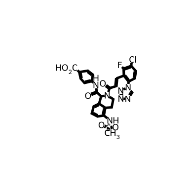 CS(=O)(=O)Nc1cccc2c1CCN(C(=O)/C=C/c1c(-n3cnnn3)ccc(Cl)c1F)C2C(=O)Nc1ccc(C(=O)O)cc1